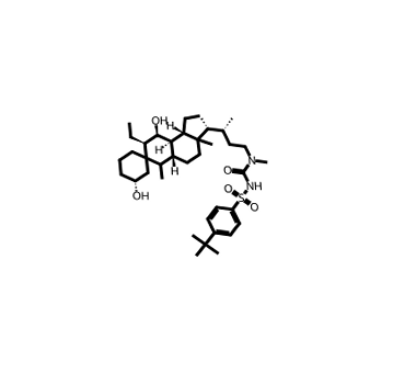 CC[C@H]1[C@@H](O)[C@@H]2[C@H](CCC3(C)[C@@H]([C@H](C)CCN(C)C(=O)NS(=O)(=O)c4ccc(C(C)(C)C)cc4)CC[C@@H]23)C(C)C12CCC[C@@H](O)C2